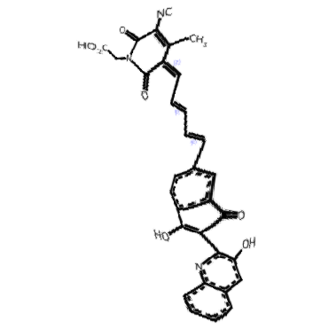 [C-]#[N+]C1=C(C)/C(=C/C=C/C=C/c2ccc3c(c2)C(=O)C(c2nc4ccccc4cc2O)=C3O)C(=O)N(CC(=O)O)C1=O